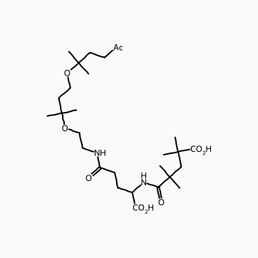 CC(=O)CCC(C)(C)OCCC(C)(C)OCCNC(=O)CCC(NC(=O)C(C)(C)CC(C)(C)C(=O)O)C(=O)O